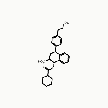 CCCCCCCCCCCCc1ccc(C2CC(C(=O)O)C(OC(=O)C3CCCCC3)c3ccccc32)cc1